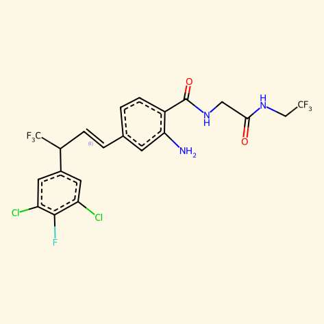 Nc1cc(/C=C/C(c2cc(Cl)c(F)c(Cl)c2)C(F)(F)F)ccc1C(=O)NCC(=O)NCC(F)(F)F